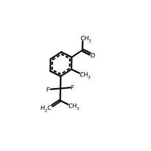 C=C(C)C(F)(F)c1cccc(C(C)=O)c1C